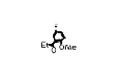 CCC(=O)c1cc(F)ccc1OC